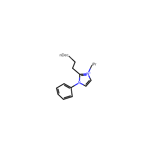 CCCCCCCCCCCCc1n(-c2ccccc2)cc[n+]1C(C)C